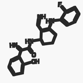 N=CC1=C(Nc2ccccc2F)CCCC1NC(=O)C(=N)c1ccccc1O